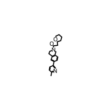 Cc1ccc(-c2ccc3c(c2)CCN(C(=O)CC2CCCCO2)C3)cn1